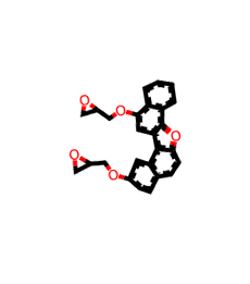 c1ccc2c(c1)c(OCC1CO1)cc1c2oc2ccc3ccc(OCC4CO4)cc3c21